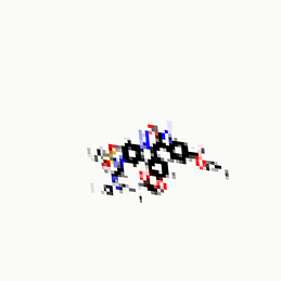 COC(=O)c1ccc2c(c1)NC(=O)/C2=C(\Nc1ccc(N(CCN(C)C)S(C)(=O)=O)cc1)c1ccc2c(c1)OC=CO2